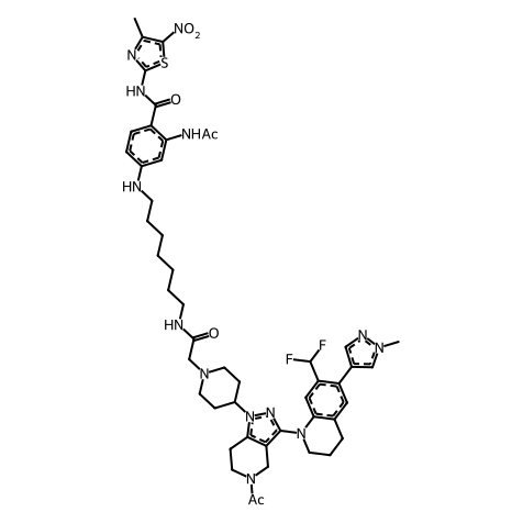 CC(=O)Nc1cc(NCCCCCCCNC(=O)CN2CCC(n3nc(N4CCCc5cc(-c6cnn(C)c6)c(C(F)F)cc54)c4c3CCN(C(C)=O)C4)CC2)ccc1C(=O)Nc1nc(C)c([N+](=O)[O-])s1